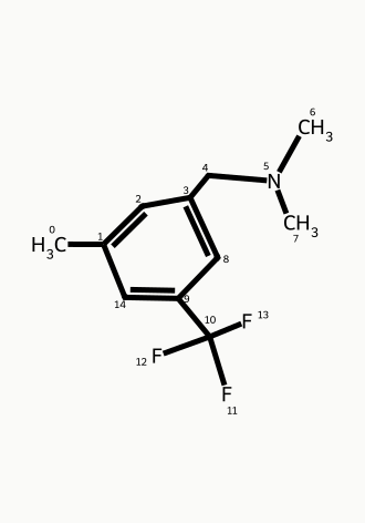 Cc1cc(CN(C)C)cc(C(F)(F)F)c1